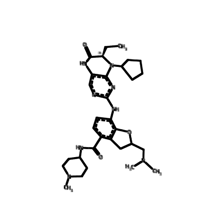 CC[C@@H]1C(=O)Nc2cnc(Nc3ccc(C(=O)NC4CCN(C)CC4)c4c3OC(CN(C)C)C4)nc2N1C1CCCC1